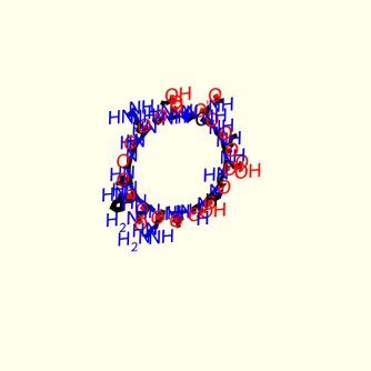 CCC(C)[C@@H]1NC(=O)[C@H](C)NC(=O)C(NC(=O)[C@H](C)NC(C)=O)Cc2cn(nn2)C[C@H](C(=O)NC(C)C(=O)O)NC(=O)C(C)NC(=O)[C@H](CCCNC(=N)N)NC(=O)C(C)NC(=O)[C@H](C)NC(=O)C(CC(C)C)NC(=O)[C@H](Cc2c[nH]c3ccccc23)NC(=O)[C@H](CCC(N)=O)NC(=O)[C@H](CCCNC(=N)N)NC(=O)[C@H](CC(C)C)NC(=O)C([C@@H](C)O)NC(=O)[C@@H]2CCCN2C(=O)CNC(=O)[C@H](CCC(=O)O)NC1=O